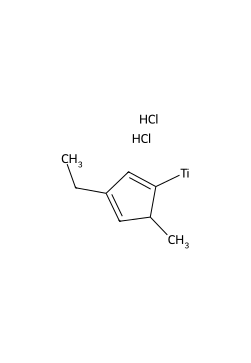 CCC1=CC(C)[C]([Ti])=C1.Cl.Cl